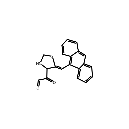 O=CC(=O)C1NCSC1=Cc1c2ccccc2cc2ccccc12